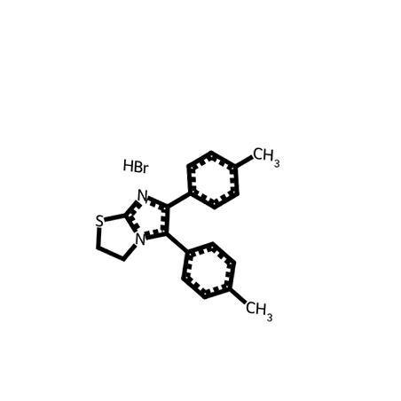 Br.Cc1ccc(-c2nc3n(c2-c2ccc(C)cc2)CCS3)cc1